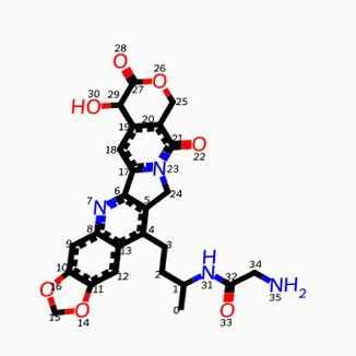 CC(CCc1c2c(nc3cc4c(cc13)OCO4)-c1cc3c(c(=O)n1C2)COC(=O)C3O)NC(=O)CN